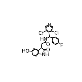 O=C(CC1C(=O)Nc2ccc(O)cc21)NC(c1ccc(F)cc1)c1c(Cl)cncc1Cl